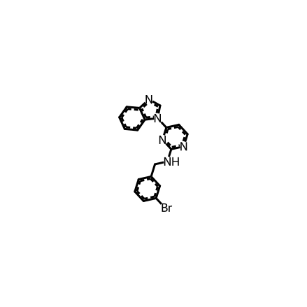 Brc1cccc(CNc2nccc(-n3cnc4ccccc43)n2)c1